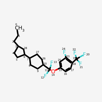 CCCC1CCC(C2CCC(C(F)(F)Oc3ccc(C(F)(F)F)c(F)c3)CC2)C1